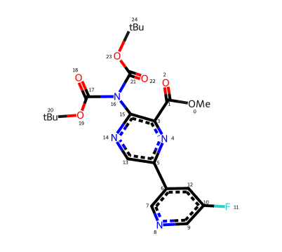 COC(=O)c1nc(-c2cncc(F)c2)cnc1N(C(=O)OC(C)(C)C)C(=O)OC(C)(C)C